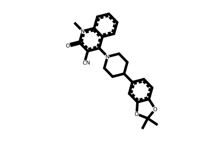 Cn1c(=O)c(C#N)c(N2CCC(c3ccc4c(c3)OC(C)(C)O4)CC2)c2ccccc21